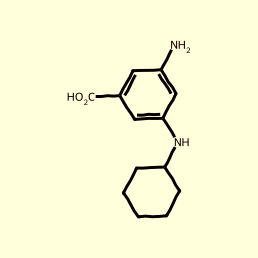 Nc1cc(NC2CCCCC2)cc(C(=O)O)c1